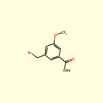 COC(=O)c1cc(CBr)cc(OC(F)(F)F)c1